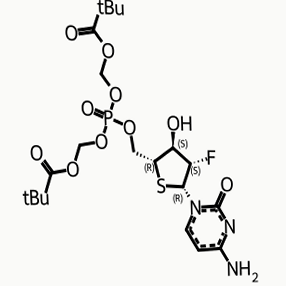 CC(C)(C)C(=O)OCOP(=O)(OCOC(=O)C(C)(C)C)OC[C@H]1S[C@@H](n2ccc(N)nc2=O)[C@@H](F)[C@@H]1O